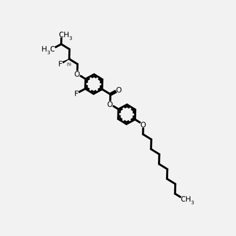 CCCCCCCCCCOc1ccc(OC(=O)c2ccc(OC[C@@H](F)CC(C)C)c(F)c2)cc1